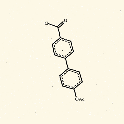 CC(=O)Oc1ccc(-c2ccc(C(=O)Cl)cc2)cc1